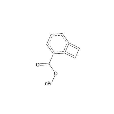 CCCOC(=O)c1cccc2c1=CC=2